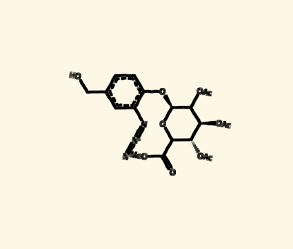 COC(=O)C1O[C@@H](Oc2ccc(CO)cc2N=[N+]=[N-])C(OC(C)=O)[C@@H](OC(C)=O)[C@@H]1OC(C)=O